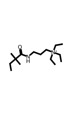 CCC(C)(C)C(=O)NCCC[N+](CC)(CC)CC